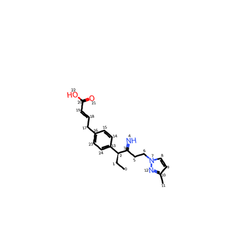 CC[C@H](C(=N)CCn1ccc(C)n1)c1ccc(C/C=C/C(=O)O)cc1